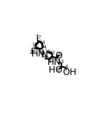 O=C(NCC(O)CO)C1=CCN(Nc2ccc(I)cc2F)C=C1